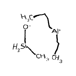 C[CH2][Al+][CH2]C.C[SiH2][O-]